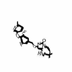 Cc1ccc(Oc2c(F)cc(COc3cc4n(c(=O)n3)CC(C)(C)N4)cc2F)cn1